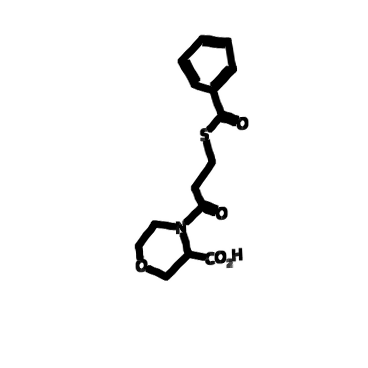 O=C(SCCC(=O)N1CCOCC1C(=O)O)c1ccccc1